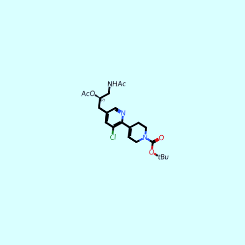 CC(=O)NC[C@@H](Cc1cnc(C2=CCN(C(=O)OC(C)(C)C)CC2)c(Cl)c1)OC(C)=O